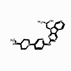 CNC1CCN(c2ccc(Nc3ncc4c5ccncc5n(C[C@@H](C)O)c4n3)nc2)CC1